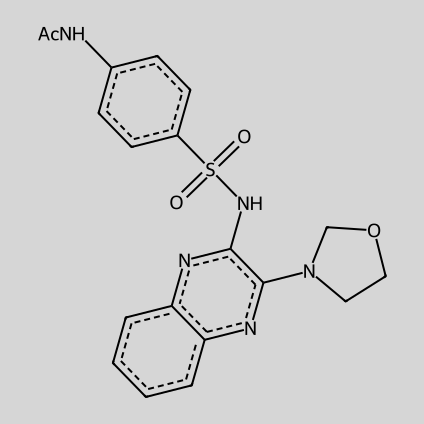 CC(=O)Nc1ccc(S(=O)(=O)Nc2nc3ccccc3nc2N2CCOC2)cc1